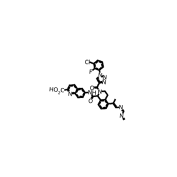 C=N/C=N\C=C(/C)c1cccc2c1CCN(C(=O)c1cn(-c3cccc(Cl)c3F)nn1)C2C(=O)Nc1ccc2nc(C(=O)O)ccc2c1